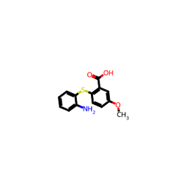 COc1ccc(Sc2ccccc2N)c(C(=O)O)c1